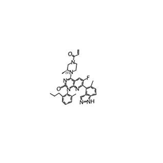 C=CC(=O)N1CCN(c2nc(=O)n(-c3c(C)cccc3CCC)c3nc(-c4c(C)ccc5[nH]ncc45)c(F)cc23)[C@@H](C)C1